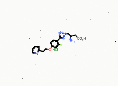 Cl.NC(CC(=O)O)Cn1nnc(-c2ccc(OCCc3ccccn3)cc2F)n1